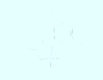 C[N+]1(C)CCC(O)C1.Cc1ccc(S(=O)(=O)[O-])cc1